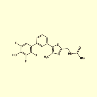 Cc1nc(CNC(=O)C(C)(C)C)sc1-c1cccc(-c2cc(F)c(O)c(F)c2F)c1